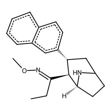 CCC(=NOC)[C@@H]1[C@@H]2CCC(C[C@H]1c1ccc3ccccc3c1)N2